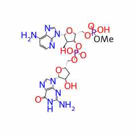 COP(=O)(O)OC[C@H]1O[C@@H](n2cnc3c(N)ccnc32)[C@H](C)[C@@H]1OP(=O)(O)OC[C@@H]1C[C@@H](O)[C@H](n2cnc3c(=O)[nH]c(N)nc32)O1